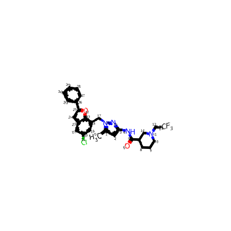 Cc1cc(NC(=O)C2CCCN(CC(F)(F)F)C2)nn1Cc1cc(Cl)cc2cc(-c3ccccc3)oc12